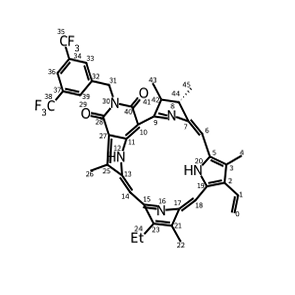 C=Cc1c(C)c2cc3nc(c4c5[nH]c(cc6nc(cc1[nH]2)C(C)=C6CC)c(C)c5C(=O)N(Cc1cc(C(F)(F)F)cc(C(F)(F)F)c1)C4=O)C(C)[C@@H]3C